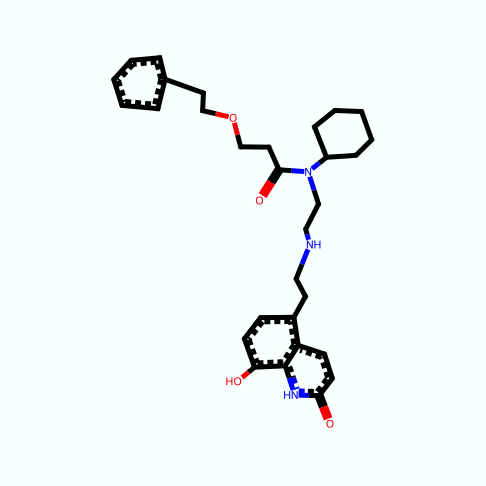 O=C(CCOCCc1ccccc1)N(CCNCCc1ccc(O)c2[nH]c(=O)ccc12)C1CCCCC1